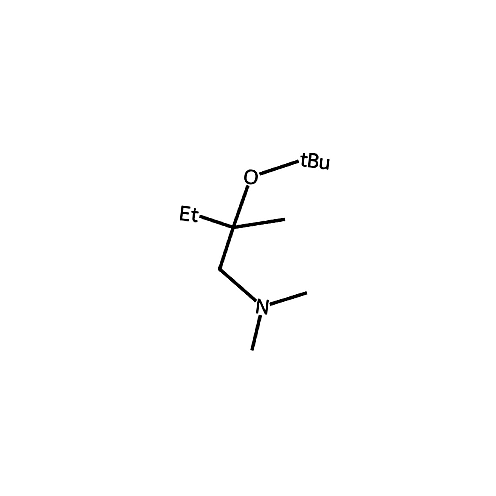 CCC(C)(CN(C)C)OC(C)(C)C